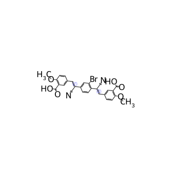 COc1ccc(/C=C(\C#N)c2ccc(/C(C#N)=C/c3ccc(OC)c(C(=O)O)c3)c(Br)c2)cc1C(=O)O